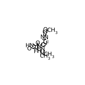 CC1CN(c2ncc(-c3cc(NC(=O)c4c[nH]c(=O)cc4C(F)(F)F)c(N4CCN(C)C(C)C4)cc3F)cn2)CCO1